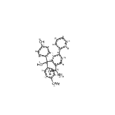 COc1ccc(C(O)(c2ccc(O)cc2)c2nc(-c3cccnn3)ncc2C(N)=O)cc1